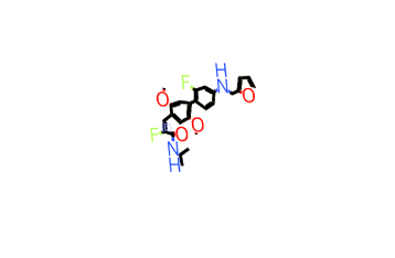 COc1cc(-c2ccc(NCc3ccco3)cc2F)c(OC)cc1/C=C(/F)C(=O)NC(C)C